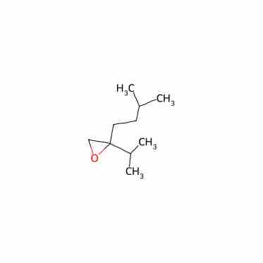 CC(C)CCC1(C(C)C)CO1